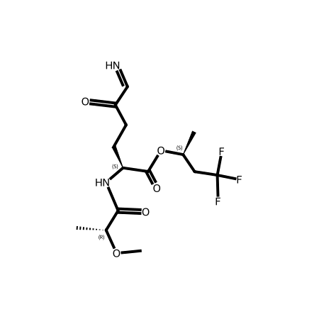 CO[C@H](C)C(=O)N[C@@H](CCC(=O)C=N)C(=O)O[C@@H](C)CC(F)(F)F